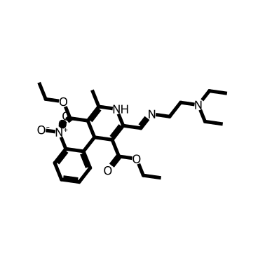 CCOC(=O)C1=C(C)NC(/C=N/CCN(CC)CC)=C(C(=O)OCC)C1c1ccccc1[N+](=O)[O-]